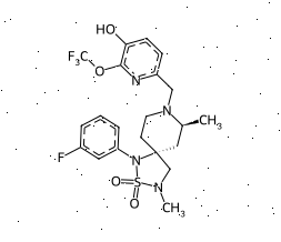 C[C@H]1C[C@]2(CCN1Cc1ccc(O)c(OC(F)(F)F)n1)CN(C)S(=O)(=O)N2c1cccc(F)c1